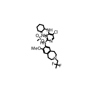 COc1cc2c(cc1Nc1ncc(Cl)c(N[C@@H]3CCCC[C@H]3NS(C)(=O)=O)n1)CCN(CC(C)(F)F)CC2